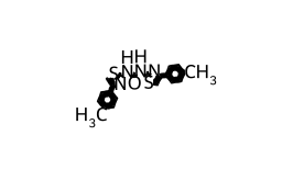 Cc1ccc(-c2csc(NC(=O)Nc3nc(-c4ccc(C)cc4)cs3)n2)cc1